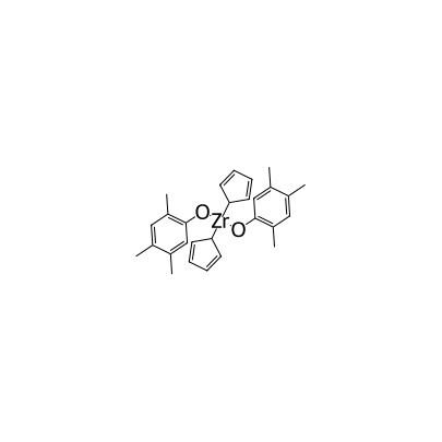 Cc1cc(C)c([O][Zr]([O]c2cc(C)c(C)cc2C)([CH]2C=CC=C2)[CH]2C=CC=C2)cc1C